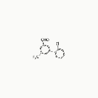 O=Cc1cc(-c2ccccc2Cl)cc(C(F)(F)F)c1